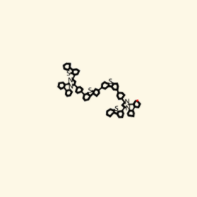 c1ccc(-c2ccccc2-c2nc(-c3ccc(-c4ccc5sc6ccc(-c7ccc8c(c7)sc7c(-c9ccc(-c%10cc(-c%11cccc%12c%11sc%11ccccc%11%12)nc(-c%11ccccc%11-c%11ccccc%11)n%10)cc9)cccc78)cc6c5c4)cc3)cc(-c3cccc4c3sc3ccccc34)n2)cc1